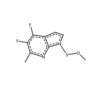 Cc1nc2c(ccn2SOI)c(F)c1F